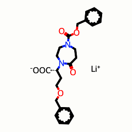 O=C([O-])[C@@H](CCOCc1ccccc1)N1CCN(C(=O)OCc2ccccc2)CCC1=O.[Li+]